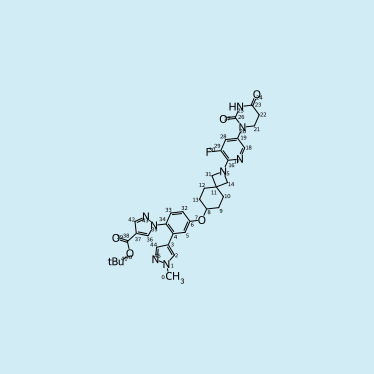 Cn1cc(-c2cc(OC3CCC4(CC3)CN(c3ncc(N5CCC(=O)NC5=O)cc3F)C4)ccc2-n2cc(C(=O)OC(C)(C)C)cn2)cn1